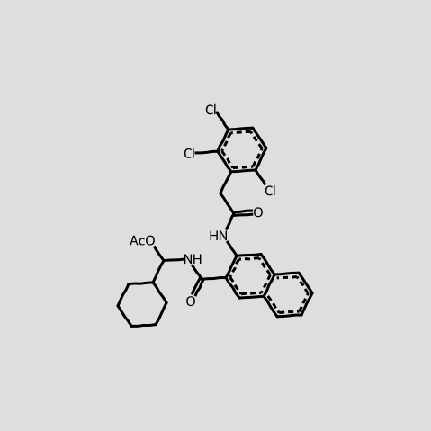 CC(=O)OC(NC(=O)c1cc2ccccc2cc1NC(=O)Cc1c(Cl)ccc(Cl)c1Cl)C1CCCCC1